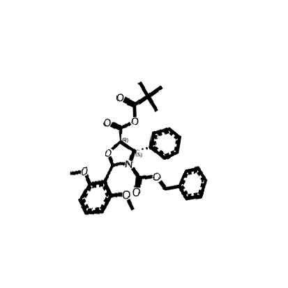 COc1cccc(OC)c1C1O[C@@H](C(=O)OC(=O)C(C)(C)C)[C@H](c2ccccc2)N1C(=O)OCc1ccccc1